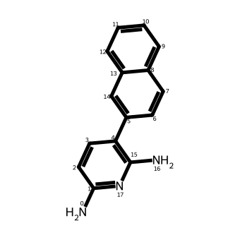 Nc1ccc(-c2ccc3ccccc3c2)c(N)n1